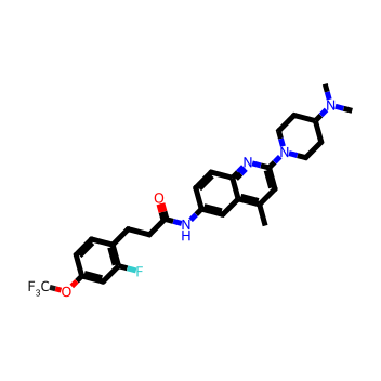 Cc1cc(N2CCC(N(C)C)CC2)nc2ccc(NC(=O)CCc3ccc(OC(F)(F)F)cc3F)cc12